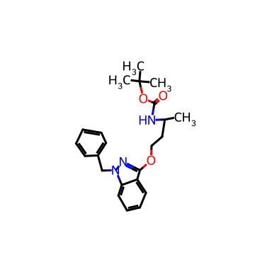 CC(CCOc1nn(Cc2ccccc2)c2ccccc12)NC(=O)OC(C)(C)C